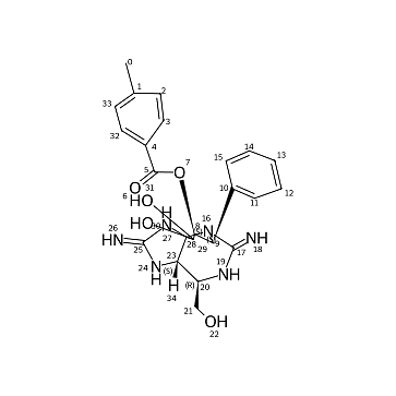 Cc1ccc(C(=O)O[C@H]2[C@H](c3ccccc3)N3C(=N)N[C@@H](CO)[C@@H]4NC(=N)NC43C2(O)O)cc1